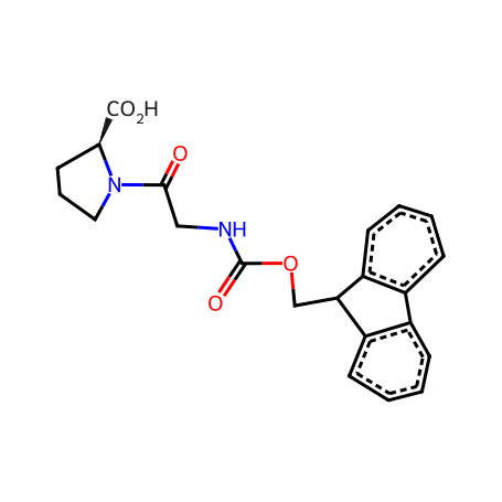 O=C(NCC(=O)N1CCC[C@H]1C(=O)O)OCC1c2ccccc2-c2ccccc21